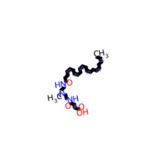 CC/C=C\C/C=C\C/C=C\C/C=C\C/C=C\C/C=C\CCC(=O)NCCN(C)CCNC(=O)/C=C/C(=O)O